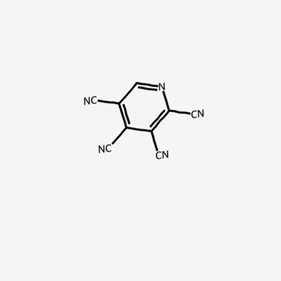 N#Cc1cnc(C#N)c(C#N)c1C#N